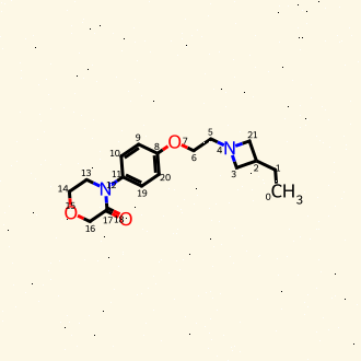 CCC1CN(CCOc2ccc(N3CCOCC3=O)cc2)C1